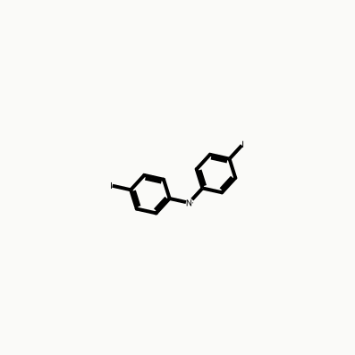 Ic1ccc([N]c2ccc(I)cc2)cc1